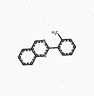 Cc1ccccc1-c1ncc2ccccc2n1